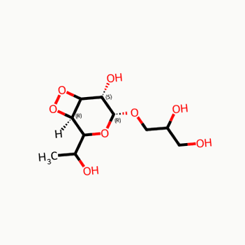 CC(O)C1O[C@@H](OCC(O)CO)[C@@H](O)C2OO[C@H]12